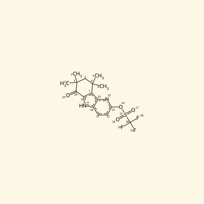 CC1(C)CC(C)(C)c2c([nH]c3ccc(OS(=O)(=O)C(F)(F)F)nc23)C1=O